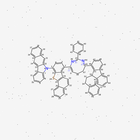 C1=C(c2ccc(-n3c4ccccc4c4cc5ccccc5cc43)c3sc4c5ccccc5ccc4c23)/N=C(c2ccccc2)\N=C(\c2cccc3c2C(CCc2ccccc2)c2ccccc2-3)CC\1